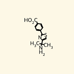 CC(C)(N)c1csc(-c2ccc(C(=O)O)cc2)n1